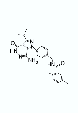 Cc1ccc(C)c(C(=O)NCc2ccc(-n3nc(C(C)C)c4c(=O)[nH]nc(N)c43)cc2)c1